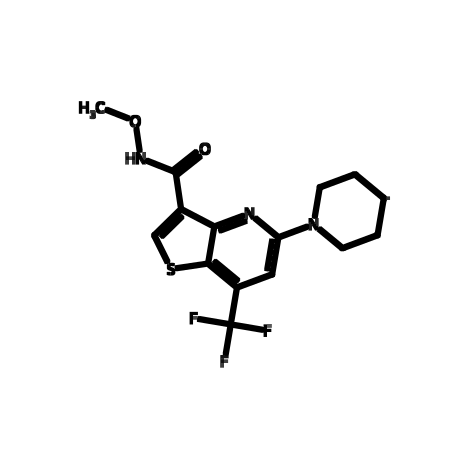 CONC(=O)c1csc2c(C(F)(F)F)cc(N3CC[CH]CC3)nc12